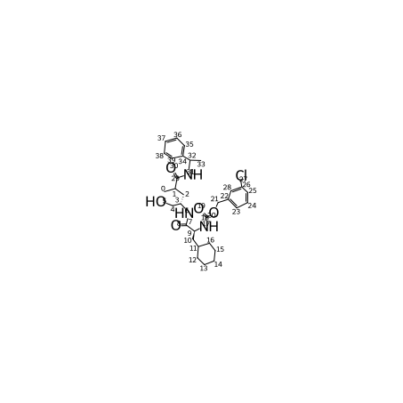 CC(C[C@@H](CO)NC(=O)[C@H](CC1CCCCC1)NC(=O)OCc1cccc(Cl)c1)C(=O)NC(C)c1ccccc1